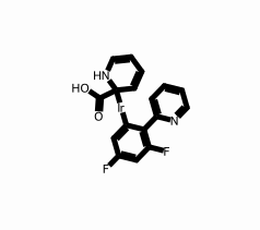 O=C(O)[C]1([Ir][c]2cc(F)cc(F)c2-c2ccccn2)C=CC=CN1